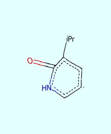 CC(C)c1c[c]c[nH]c1=O